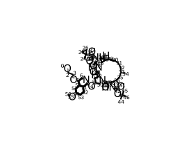 COCCOc1cnc(O[C@@H]2C[C@H]3C(=O)N[C@]4(C(=O)NS(=O)(=O)C5(C)CC5)C[C@H]4/C=C\CC[C@@H](C)C[C@@H](C)[C@H](NC(=O)OC(C)(C)C)C(=O)N3C2)c2ccc(OC)cc12